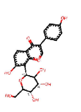 O=c1c(-c2ccc(O)cc2)coc2c([C@@H]3OC(CO)[C@@H](O)[C@@H](O)C3O)c(O)ccc12